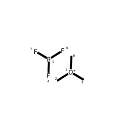 C[O+](C)C.FB(F)F